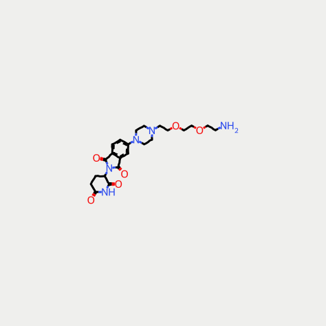 NCCOCCOCCN1CCN(c2ccc3c(c2)C(=O)N(C2CCC(=O)NC2=O)C3=O)CC1